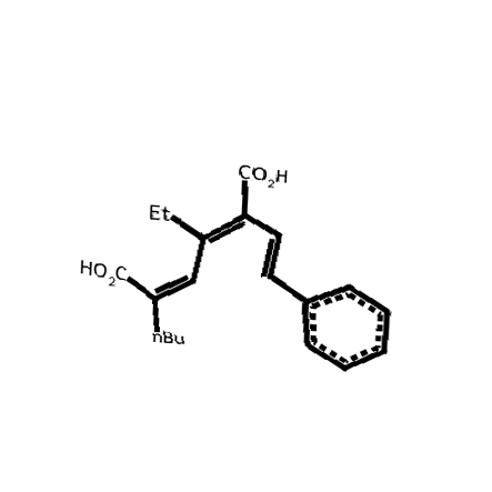 CCCCC(=CC(CC)=C(C=Cc1ccccc1)C(=O)O)C(=O)O